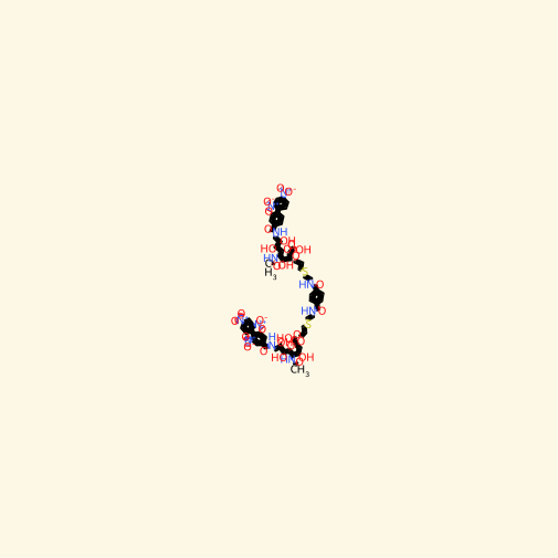 CC(=O)N[C@H]1[C@H]([C@H](O)[C@H](O)CNC(=O)c2ccc(-c3ccc([N+](=O)[O-])cc3[N+](=O)[O-])cc2)O[C@@](OCCCSCCNC(=O)c2ccc(C(=O)NCCSCCCO[C@]3(C(=O)O)C[C@H](O)[C@@H](NC(C)=O)[C@H]([C@H](O)[C@H](O)CNC(=O)c4ccc(-c5ccc([N+](=O)[O-])cc5[N+](=O)[O-])c([N+](=O)[O-])c4)O3)cc2)(C(=O)O)C[C@@H]1O